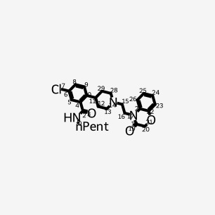 CCCCCNC(=O)c1cc(Cl)ccc1C1CCN(CCN2C(=O)COc3ccccc32)CC1